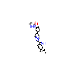 Cc1ccc2c(CN3CCC(c4cccc(NC(=O)C(C)C)c4)CC3)c[nH]c2c1